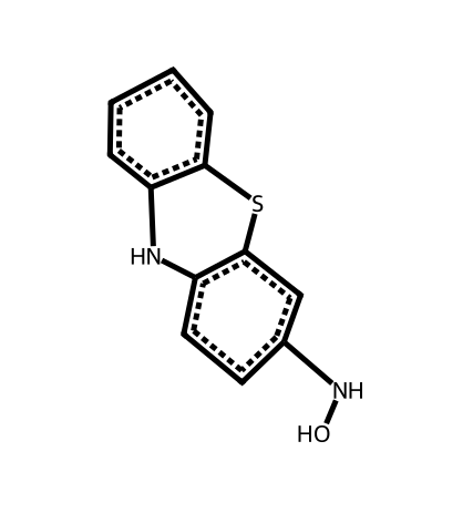 ONc1ccc2c(c1)Sc1ccccc1N2